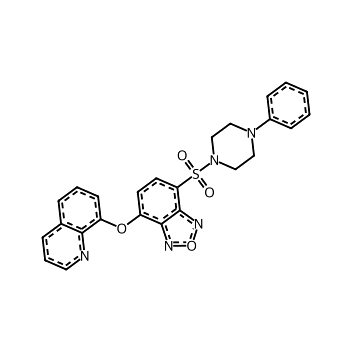 O=S(=O)(c1ccc(Oc2cccc3cccnc23)c2nonc12)N1CCN(c2ccccc2)CC1